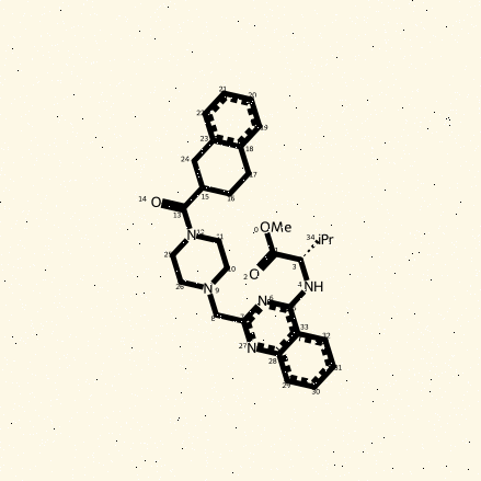 COC(=O)[C@@H](Nc1nc(CN2CCN(C(=O)C3CCc4ccccc4C3)CC2)nc2ccccc12)C(C)C